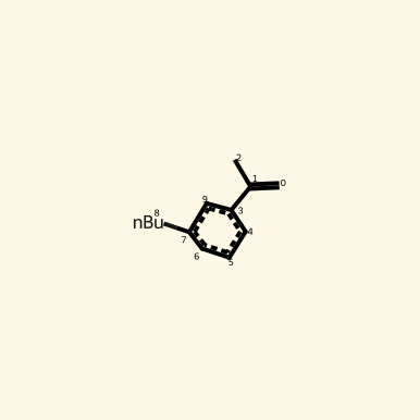 C=C(C)c1cccc(CCCC)c1